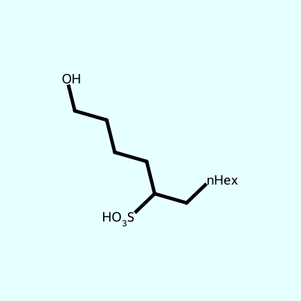 CCCCCCCC(CCCCO)S(=O)(=O)O